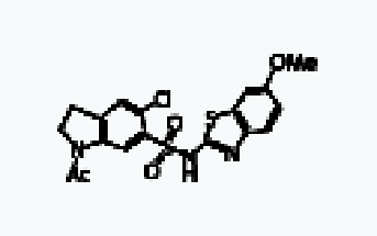 COc1ccc2nc(NS(=O)(=O)c3cc4c(cc3Cl)CCN4C(C)=O)sc2c1